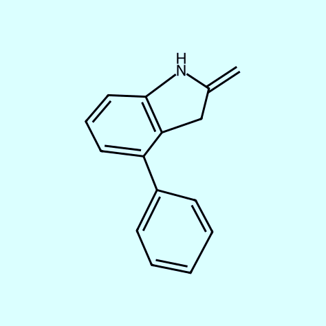 C=C1Cc2c(cccc2-c2ccccc2)N1